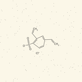 C=Cc1ccc(S(=O)(=O)[O-])c(C=C)c1.[Cl+]